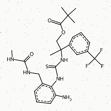 CNC(=O)NCc1cccc(N)c1NC(=S)NC(C)(COC(=O)C(C)(C)C)c1cccc(C(F)(F)F)c1